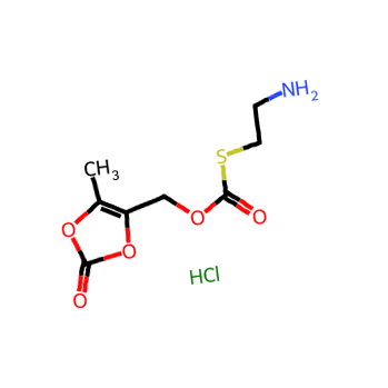 Cc1oc(=O)oc1COC(=O)SCCN.Cl